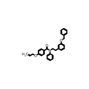 C=CCOc1ccc(C(=O)N(CCc2cccc(OCc3ccccc3)c2)c2ccccc2)cc1